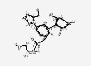 CCc1nnnn1-c1cc(OC(=O)N[C@H](C)COC)cc(-c2ccc(Cl)cc2F)c1